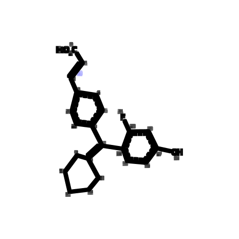 CCOC(=O)/C=C/c1ccc(C(=C2CCCCC2)c2ccc(O)cc2F)cc1